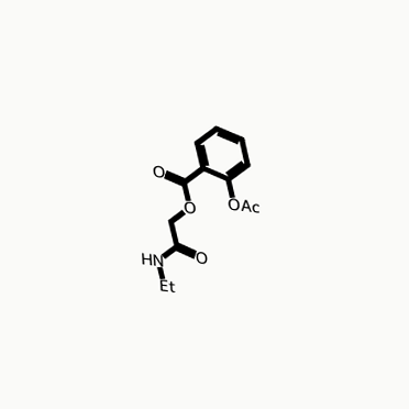 CCNC(=O)COC(=O)c1ccccc1OC(C)=O